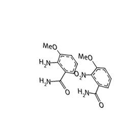 COc1cccc(C(N)=O)c1N.COc1cccc(C(N)=O)c1[N+](=O)[O-]